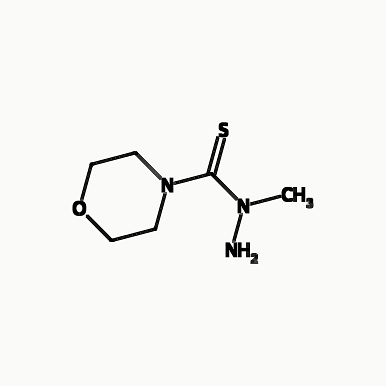 CN(N)C(=S)N1CCOCC1